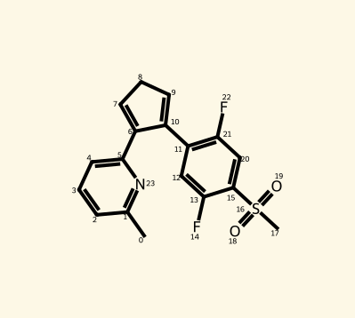 Cc1cccc(C2=CCC=C2c2cc(F)c(S(C)(=O)=O)cc2F)n1